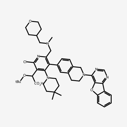 CN(Cc1nc(Cl)c(C(OC(C)(C)C)C(=O)O)c(N2CCC(C)(C)CC2)c1-c1ccc2c(c1)CCN(c1ncnc3c1oc1ccccc13)C2)CC1CCOCC1